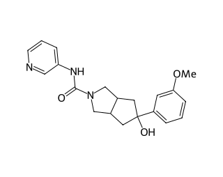 COc1cccc(C2(O)CC3CN(C(=O)Nc4cccnc4)CC3C2)c1